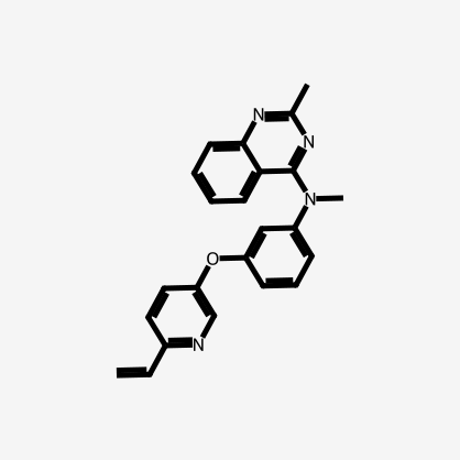 C=Cc1ccc(Oc2cccc(N(C)c3nc(C)nc4ccccc34)c2)cn1